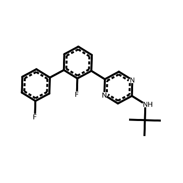 CC(C)(C)Nc1cnc(-c2cccc(-c3cccc(F)c3)c2F)cn1